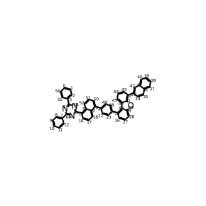 c1ccc(-c2nc(-c3ccccc3)nc(-c3cccc4c(-c5ccc(-c6cccc7oc8c(-c9ccc%10ccccc%10c9)cccc8c67)cc5)cccc34)n2)cc1